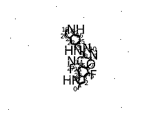 Cc1cc2c(F)c(Oc3ncnc(Nc4ccc5[nH]ccc5c4)c3C#N)cc(F)c2[nH]1